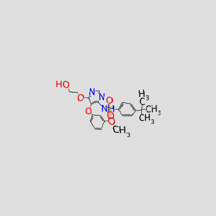 COc1cccc(Oc2c(NS(=O)(=O)c3ccc(C(C)(C)C)cc3)ncnc2OCCO)c1